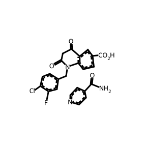 NC(=O)c1ccncc1.O=C(O)c1ccc2c(c1)C(=O)CC(=O)N2Cc1ccc(Cl)c(F)c1